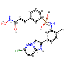 Cc1ccc(-c2cn3nc(Cl)ccc3n2)cc1NS(=O)(=O)c1cccc(/C=C/C(=O)NO)c1